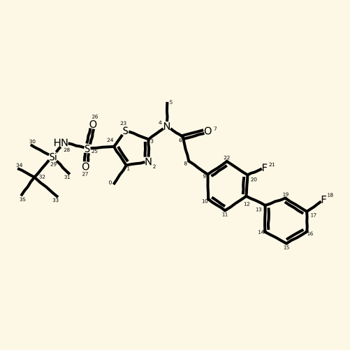 Cc1nc(N(C)C(=O)Cc2ccc(-c3cccc(F)c3)c(F)c2)sc1S(=O)(=O)N[Si](C)(C)C(C)(C)C